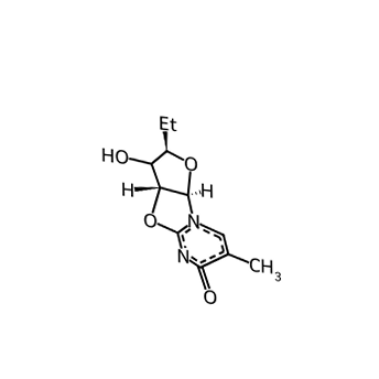 CC[C@H]1O[C@@H]2[C@H](Oc3nc(=O)c(C)cn32)C1O